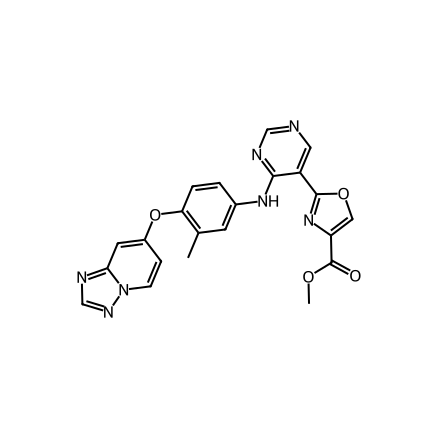 COC(=O)c1coc(-c2cncnc2Nc2ccc(Oc3ccn4ncnc4c3)c(C)c2)n1